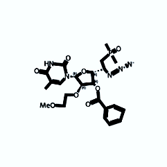 COCCO[C@@H]1[C@H](OC(=O)c2ccccc2)[C@@H](C(CP(C)(C)=O)N=[N+]=[N-])O[C@H]1n1cc(C)c(=O)[nH]c1=O